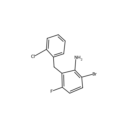 Nc1c(Br)ccc(F)c1Cc1ccccc1Cl